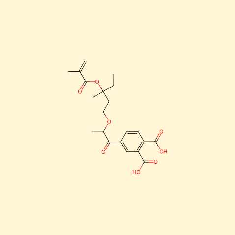 C=C(C)C(=O)OC(C)(CC)CCOC(C)C(=O)c1ccc(C(=O)O)c(C(=O)O)c1